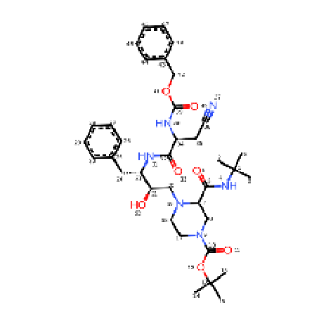 CC(C)(C)NC(=O)C1CN(C(=O)OC(C)(C)C)CCN1C[C@@H](O)[C@H](Cc1ccccc1)NC(=O)[C@H](CC#N)NC(=O)OCc1ccccc1